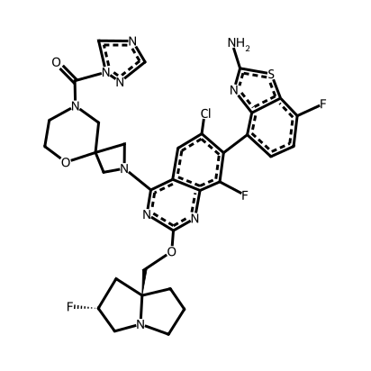 Nc1nc2c(-c3c(Cl)cc4c(N5CC6(CN(C(=O)n7cncn7)CCO6)C5)nc(OC[C@@]56CCCN5C[C@H](F)C6)nc4c3F)ccc(F)c2s1